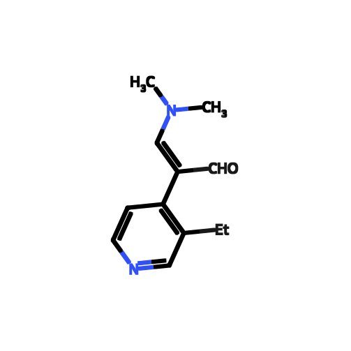 CCc1cnccc1/C(C=O)=C/N(C)C